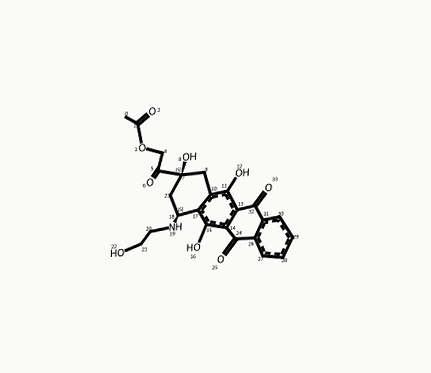 CC(=O)OCC(=O)[C@]1(O)Cc2c(O)c3c(c(O)c2[C@@H](NCCO)C1)C(=O)c1ccccc1C3=O